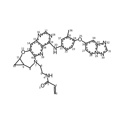 C=CC(=O)NCCN1CC2CC2Oc2cc3ncnc(Nc4ccc(Oc5ccn6ncnc6c5)c(C)c4)c3nc21